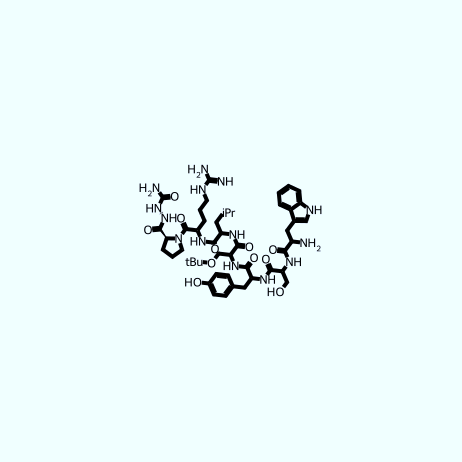 CC(C)CC(NC(=O)C(COC(C)(C)C)NC(=O)C(Cc1ccc(O)cc1)NC(=O)C(CO)NC(=O)C(N)Cc1c[nH]c2ccccc12)C(=O)NC(CCCNC(=N)N)C(=O)N1CCC[C@H]1C(=O)NNC(N)=O